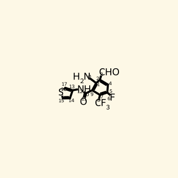 Nc1c(C=O)cc(F)c(C(F)(F)F)c1C(=O)Nc1ccsc1